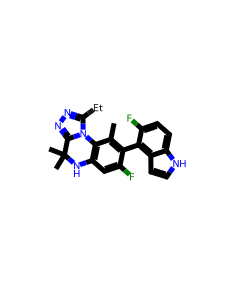 CCc1nnc2n1-c1c(cc(F)c(-c3c(F)ccc4[nH]ccc34)c1C)NC2(C)C